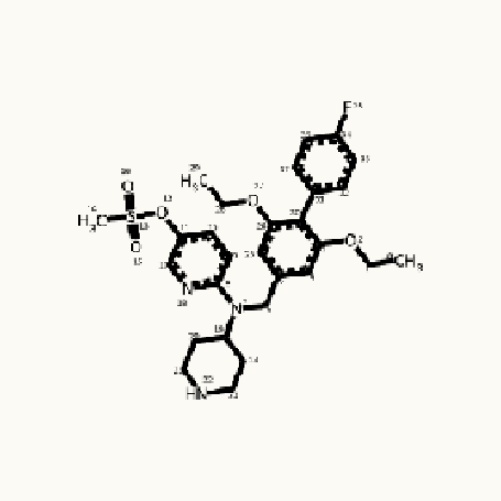 CCOc1cc(CN(c2ccc(OS(C)(=O)=O)cn2)C2CCNCC2)cc(OCC)c1-c1ccc(F)cc1